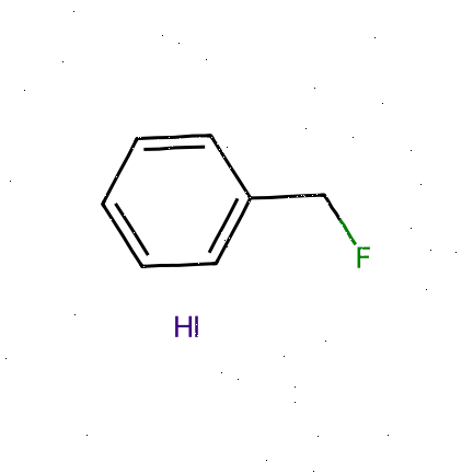 FCc1ccccc1.I